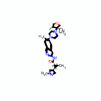 Cc1cc2cnc(NC(=O)[C@@H]3[C@H](C)[C@H]3c3cnn(C)c3)cc2cc1N1CCN([C@]2(C)COC[C@@H]2F)CC1